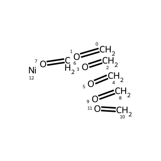 C=O.C=O.C=O.C=O.C=O.C=O.[Ni]